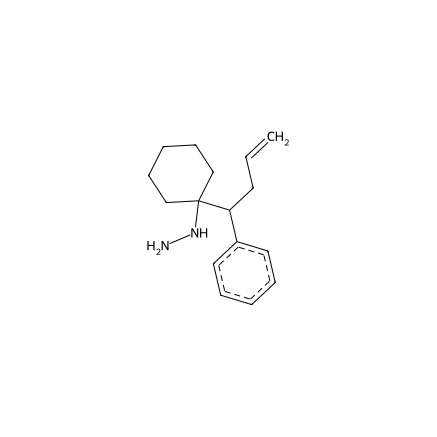 C=CCC(c1ccccc1)C1(NN)CCCCC1